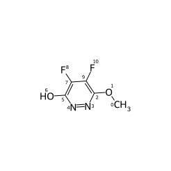 COc1nnc(O)c(F)c1F